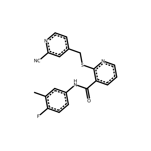 Cc1cc(NC(=O)c2cccnc2SCc2ccnc(C#N)c2)ccc1F